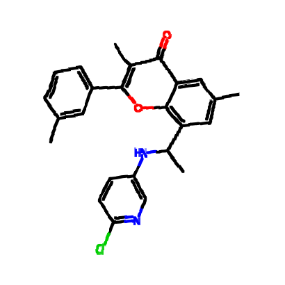 Cc1cccc(-c2oc3c(C(C)Nc4ccc(Cl)nc4)cc(C)cc3c(=O)c2C)c1